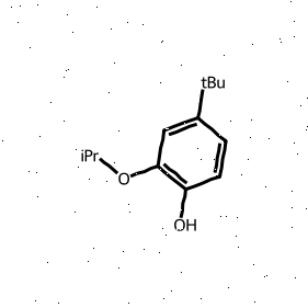 CC(C)Oc1cc(C(C)(C)C)ccc1O